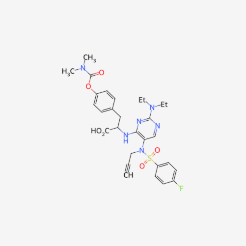 C#CCN(c1cnc(N(CC)CC)nc1NC(Cc1ccc(OC(=O)N(C)C)cc1)C(=O)O)S(=O)(=O)c1ccc(F)cc1